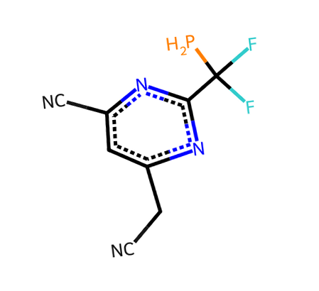 N#CCc1cc(C#N)nc(C(F)(F)P)n1